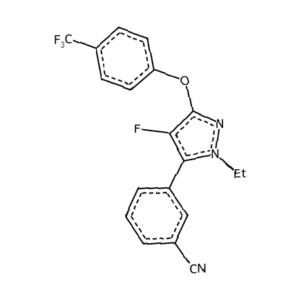 CCn1nc(Oc2ccc(C(F)(F)F)cc2)c(F)c1-c1cccc(C#N)c1